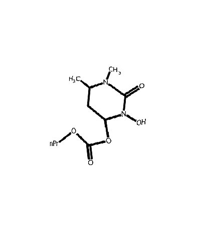 CCCOC(=O)OC1CC(C)N(C)C(=O)N1O